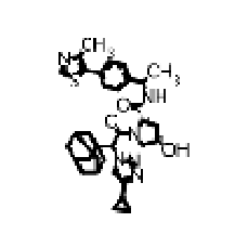 Cc1ncsc1-c1ccc(C(C)NC(=O)[C@@H]2C[C@@H](O)CN2C(=O)C(n2cc(C3CC3)nn2)C23CC4CC(CC(C4)C2)C3)cc1